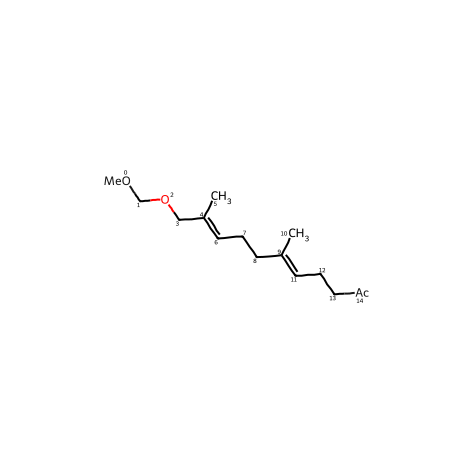 COCOC/C(C)=C/CC/C(C)=C/CCC(C)=O